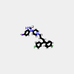 O=c1[nH]c2cc(I)ccc2n1C1CCN(CCCC(c2ccc(F)cc2)c2ccc(F)cc2)CC1